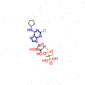 CC(F)(P(=O)(O)O)S(=O)(=O)C[C@H]1O[C@@H](n2cnc3c(NC4CCCC4)nc(Cl)nc32)[C@H](O)[C@@H]1O